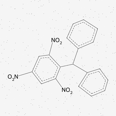 O=[N+]([O-])c1cc([N+](=O)[O-])c(C(c2ccccc2)c2ccccc2)c([N+](=O)[O-])c1